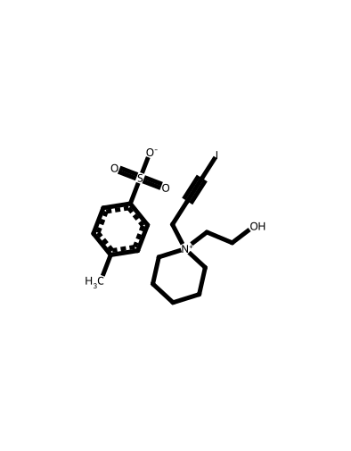 Cc1ccc(S(=O)(=O)[O-])cc1.OCC[N+]1(CC#CI)CCCCC1